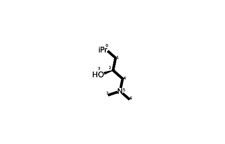 CC(C)C[C@H](O)CN(C)C